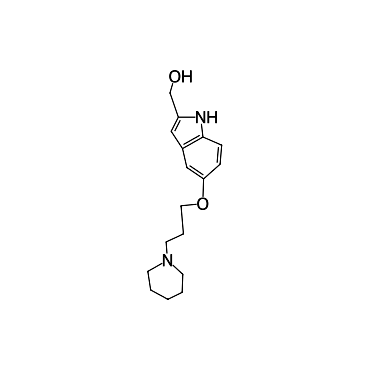 OCc1cc2cc(OCCCN3CCCCC3)ccc2[nH]1